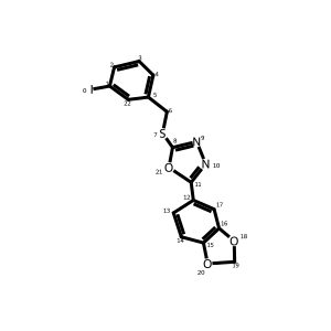 Ic1cccc(CSc2nnc(-c3ccc4c(c3)OCO4)o2)c1